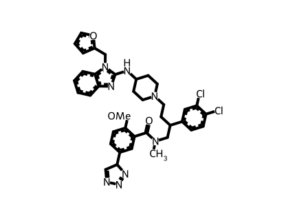 COc1ccc(C2C=NN=N2)cc1C(=O)N(C)CC(CCN1CCC(Nc2nc3ccccc3n2Cc2ccco2)CC1)c1ccc(Cl)c(Cl)c1